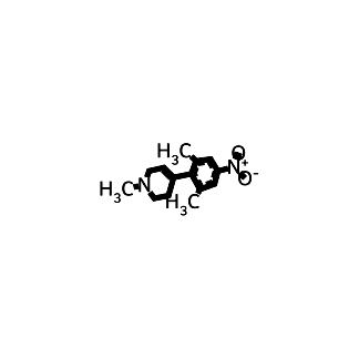 Cc1cc([N+](=O)[O-])cc(C)c1C1=CCN(C)CC1